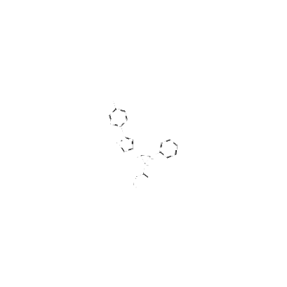 O=C(NO)[C@@H]1[C@H](c2ccccc2)[C@H]1c1cnn(-c2ccc(C(F)(F)F)cn2)c1